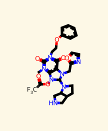 Cn1c2c(c(=O)n(CCOc3ccccc3)c1=O)N(Cc1ncco1)C(N1CCC3CNCC31)N2OC(=O)C(F)(F)F